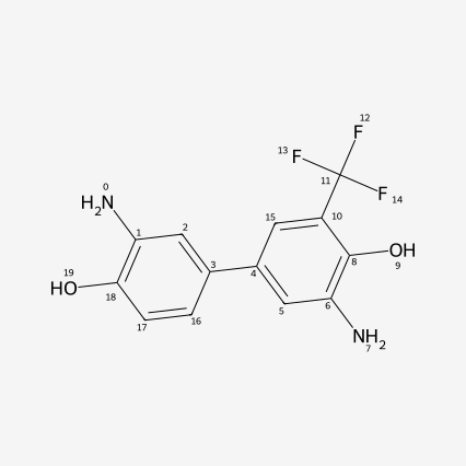 Nc1cc(-c2cc(N)c(O)c(C(F)(F)F)c2)ccc1O